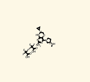 CN[C@@H]1CCN(c2nc(N)nc3c2OC[C@@H](C2CC2)N3)C1.O=C(O)C(F)(F)F.O=C(O)C(F)(F)F